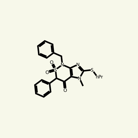 CCCSc1nc2c(n1C)C(=O)C(c1ccccc1)S(=O)(=O)N2Cc1ccccc1